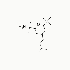 CC(C)CCN(CCC(C)(C)C)CC(=O)C(C)(C)N